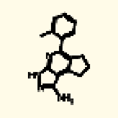 Cc1ccccc1-c1nc2[nH]nc(N)c2c2c1CCC2